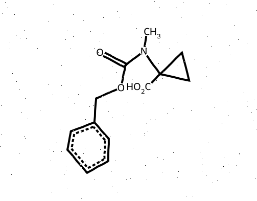 CN(C(=O)OCc1ccccc1)C1(C(=O)O)CC1